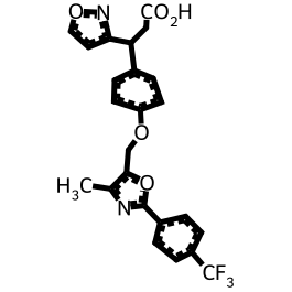 Cc1nc(-c2ccc(C(F)(F)F)cc2)oc1COc1ccc(C(CC(=O)O)c2ccon2)cc1